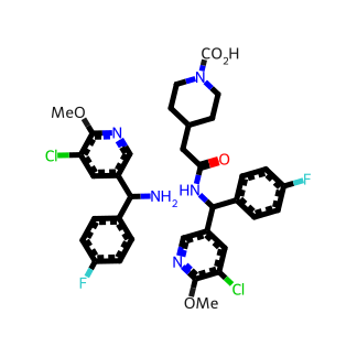 COc1ncc(C(N)c2ccc(F)cc2)cc1Cl.COc1ncc(C(NC(=O)CC2CCN(C(=O)O)CC2)c2ccc(F)cc2)cc1Cl